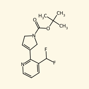 CC(C)(C)OC(=O)N1CC=C(c2ncccc2C(F)F)C1